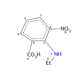 CCNc1c(C(=O)O)cccc1[N+](=O)[O-]